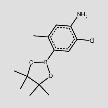 Cc1cc(N)c(Cl)cc1B1OC(C)(C)C(C)(C)O1